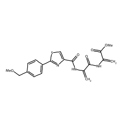 C=C(NC(=O)c1csc(-c2ccc(COC)cc2)n1)C(=O)NC(=C)C(=O)OC